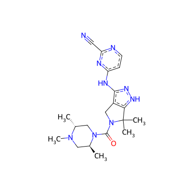 C[C@@H]1CN(C(=O)N2Cc3c(Nc4ccnc(C#N)n4)n[nH]c3C2(C)C)[C@@H](C)CN1C